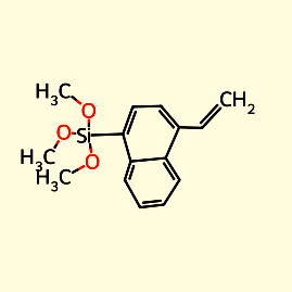 C=Cc1ccc([Si](OC)(OC)OC)c2ccccc12